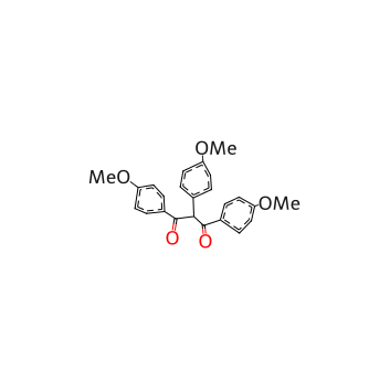 COc1ccc(C(=O)C(C(=O)c2ccc(OC)cc2)c2ccc(OC)cc2)cc1